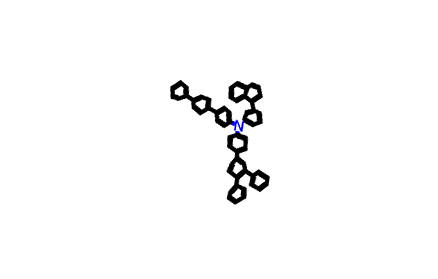 c1ccc(-c2ccc(-c3ccc(N(c4ccc(-c5ccc(-c6ccccc6)c(-c6ccccc6)c5)cc4)c4cccc(-c5cccc6ccccc56)c4)cc3)cc2)cc1